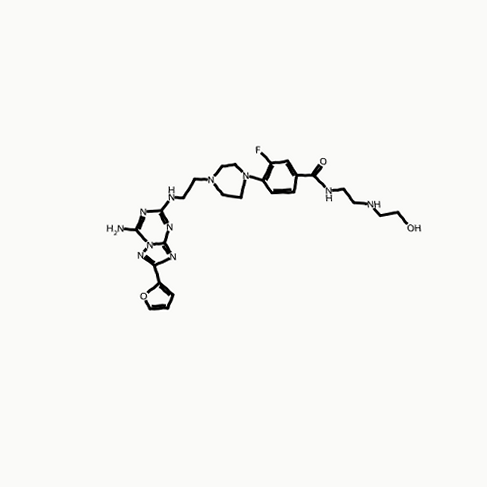 Nc1nc(NCCN2CCN(c3ccc(C(=O)NCCNCCO)cc3F)CC2)nc2nc(-c3ccco3)nn12